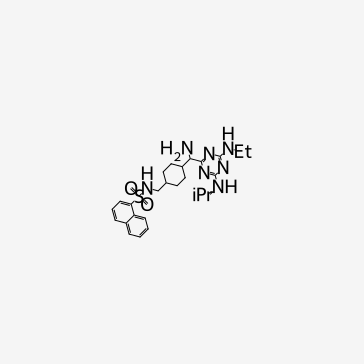 CCNc1nc(NC(C)C)nc(C(N)C2CCC(CNS(=O)(=O)c3cccc4ccccc34)CC2)n1